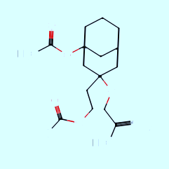 C=C(C)COC1(CCOC(C)=O)CC2CCCC(OC(C)=O)(C2)C1